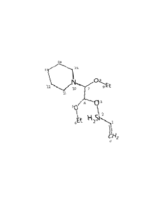 C=C[SiH2]OC(OCC)C(OCC)N1CCCCC1